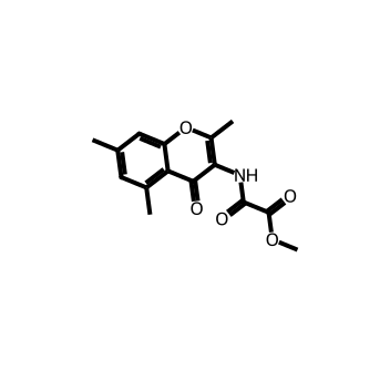 COC(=O)C(=O)Nc1c(C)oc2cc(C)cc(C)c2c1=O